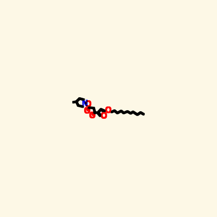 CCCCCCCCCCCOc1cc(C(=O)CC(=O)ON2CCC(C)CC2)co1